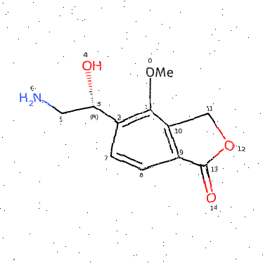 COc1c([C@@H](O)CN)ccc2c1COC2=O